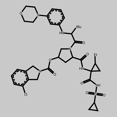 CCC1CC1(NC(=O)C1CC(OC(=O)N2Cc3cccc(Cl)c3C2)CN1C(=O)C(Nc1cccc(N2CCOCC2)c1)C(C)(C)C)C(=O)NS(=O)(=O)C1CC1